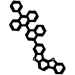 c1ccc(-c2c3ccccc3c(-c3ccc(-c4ccc5c(c4)oc4ccc6c7ccccc7oc6c45)c4ccccc34)c3ccccc23)cc1